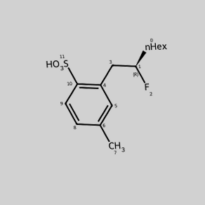 CCCCCC[C@@H](F)Cc1cc(C)ccc1S(=O)(=O)O